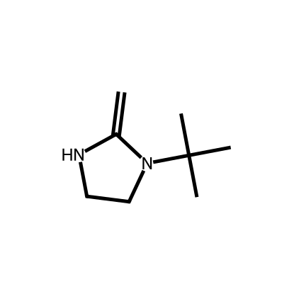 C=C1NCCN1C(C)(C)C